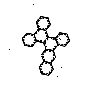 c1ccc2cc3c(cc2c1)c1ccccc1c1c2ccccc2c2ccccc2c31